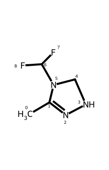 CC1=NNCN1C(F)F